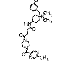 Cc1cnc(C(=O)N2CCN(C(=O)CCC(=O)NC3CCC(Cc4cccc(Cl)c4)(N(C)C)CC3)CC2)cn1